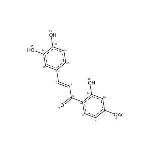 CC(=O)Oc1ccc(C(=O)C=Cc2ccc(O)c(O)c2)c(O)c1